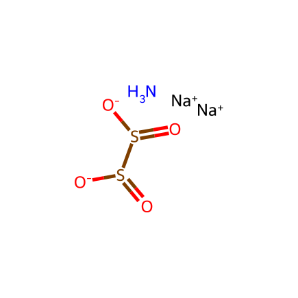 N.O=S([O-])S(=O)[O-].[Na+].[Na+]